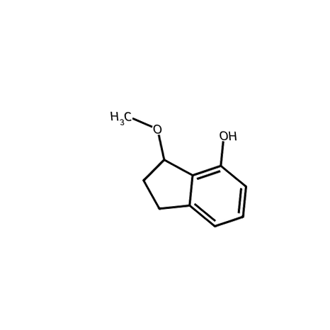 COC1CCc2cccc(O)c21